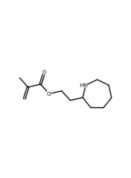 C=C(C)C(=O)OCCC1CCCCCN1